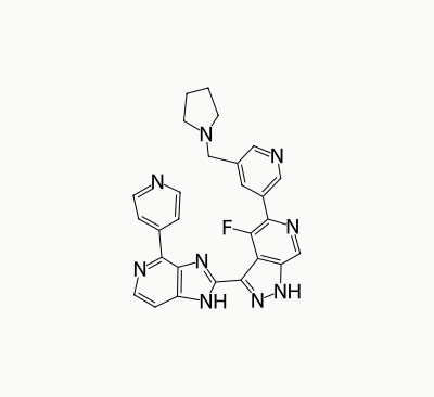 Fc1c(-c2cncc(CN3CCCC3)c2)ncc2[nH]nc(-c3nc4c(-c5ccncc5)nccc4[nH]3)c12